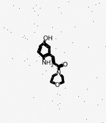 Nc1ccc(O)cc1C=CC(=O)N1CCOCC1